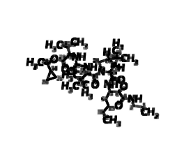 C=CCNC(=O)C(=O)C(CCCC)NC(=O)[C@@H]1[C@@H]2[C@H](CN1C(=O)[C@@H](NC(=O)N[C@H](C(=O)OC(C)C1CC1)C(C)C)C(C)(C)C)C2(C)C